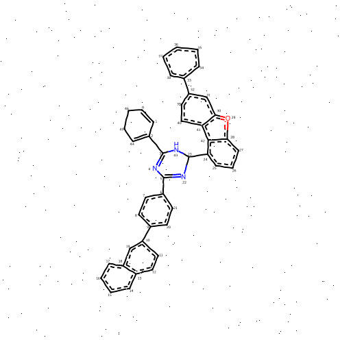 C1=CC(C2=NC(c3ccc(-c4ccc5ccccc5c4)cc3)=NC(c3cccc4oc5cc(-c6ccccc6)ccc5c34)N2)=CCC1